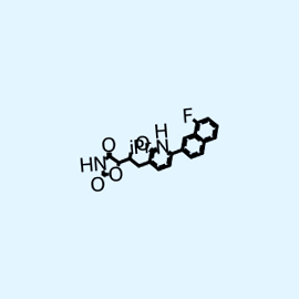 CC(C)C(Cc1ccc(-c2ccc3cccc(F)c3c2)[nH]c1=O)C1OC(=O)NC1=O